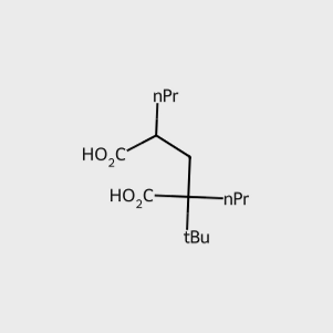 CCCC(CC(CCC)(C(=O)O)C(C)(C)C)C(=O)O